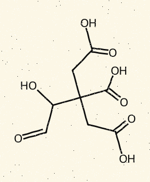 O=CC(O)C(CC(=O)O)(CC(=O)O)C(=O)O